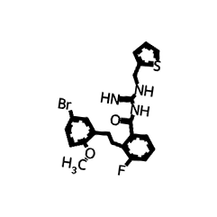 COc1ccc(Br)cc1CCc1c(F)cccc1C(=O)NC(=N)NCc1cccs1